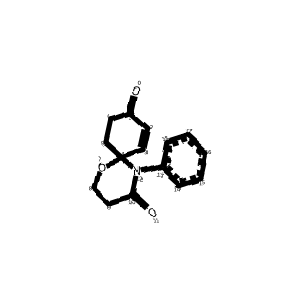 O=C1C=CC2(CC1)OCCC(=O)N2c1ccccc1